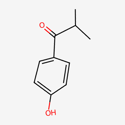 CC(C)C(=O)c1ccc(O)cc1